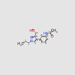 CCCn1cc(-c2cccc(NC(C)=O)c2)c(CO)n1